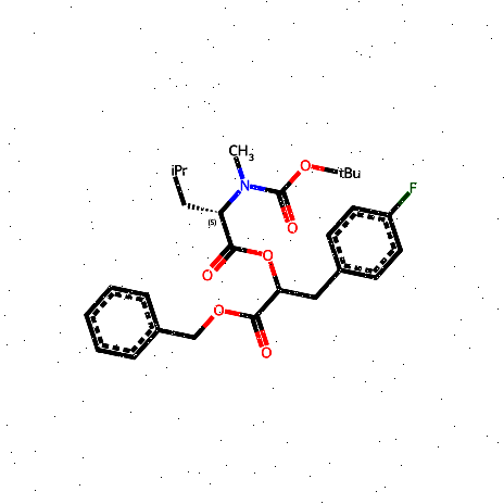 CC(C)C[C@@H](C(=O)OC(Cc1ccc(F)cc1)C(=O)OCc1ccccc1)N(C)C(=O)OC(C)(C)C